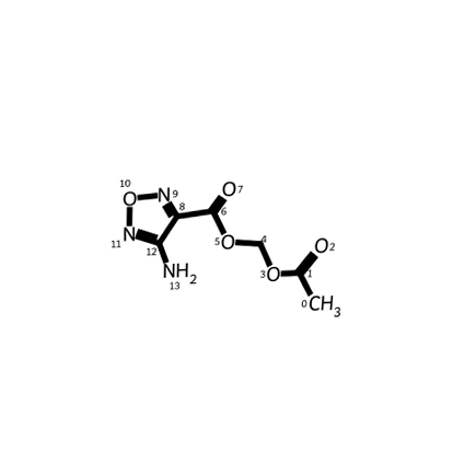 CC(=O)OCOC(=O)c1nonc1N